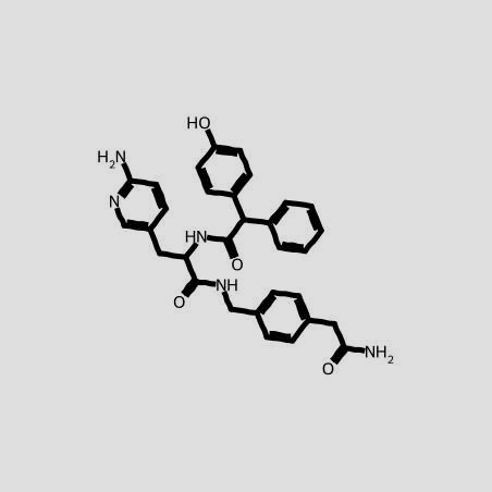 NC(=O)Cc1ccc(CNC(=O)C(Cc2ccc(N)nc2)NC(=O)C(c2ccccc2)c2ccc(O)cc2)cc1